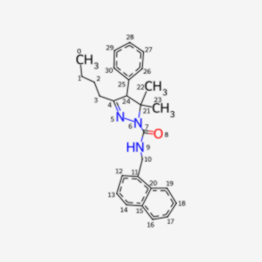 CCCCC1=NN(C(=O)NCc2cccc3ccccc23)C(C)(C)C1c1ccccc1